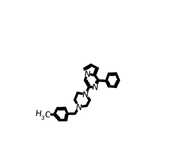 Cc1ccc(CN2CCN(c3cn4cccc4c(-c4ccccc4)n3)CC2)cc1